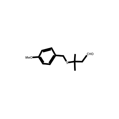 COc1ccc(CSC(C)(C)CC=O)cc1